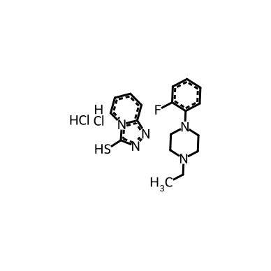 CCN1CCN(c2ccccc2F)CC1.Cl.Cl.Sc1nnc2ccccn12